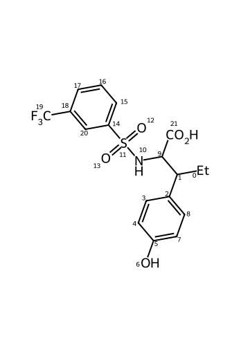 CCC(c1ccc(O)cc1)C(NS(=O)(=O)c1cccc(C(F)(F)F)c1)C(=O)O